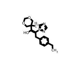 CCc1ccc(CC(=C(O)C2(C)COCOC2)n2cncn2)cc1